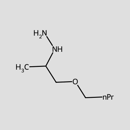 CCCCOCC(C)NN